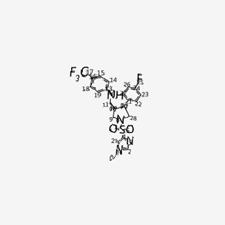 Cn1cnc(S(=O)(=O)N2C[C@@H](CNc3ccc(C(F)(F)F)cc3)[C@H](c3ccc(F)cc3)C2)c1